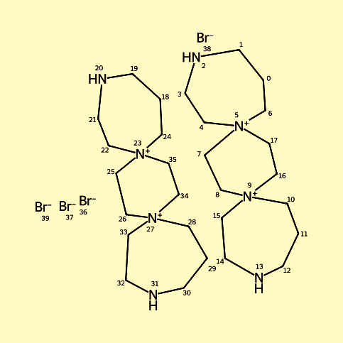 C1CNCC[N+]2(C1)CC[N+]1(CCCNCC1)CC2.C1CNCC[N+]2(C1)CC[N+]1(CCCNCC1)CC2.[Br-].[Br-].[Br-].[Br-]